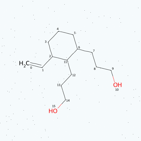 C=CC1CCCC(CCCO)C1CCCO